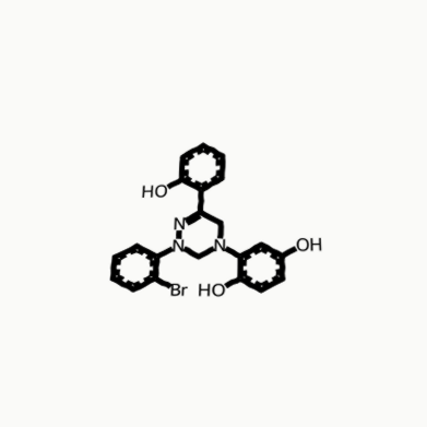 Oc1ccc(O)c(N2CC(c3ccccc3O)=NN(c3ccccc3Br)C2)c1